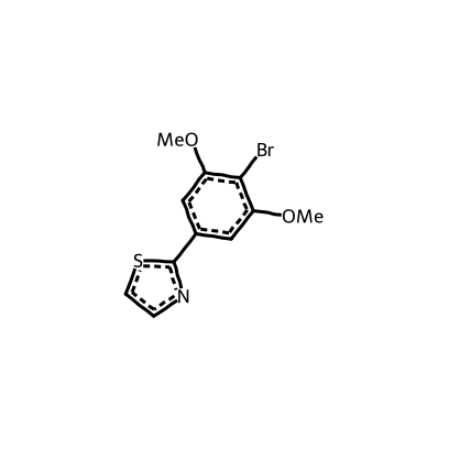 COc1cc(-c2nccs2)cc(OC)c1Br